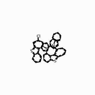 Clc1cc(N(c2ccccc2)c2cccc3sc4cccc(N(c5ccccc5)c5ccccc5)c4c23)c2c(c1)sc1ccccc12